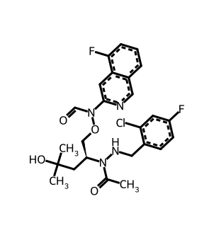 CC(=O)N(NCc1ccc(F)cc1Cl)[C@H](CON(C=O)c1cc2c(F)cccc2cn1)CC(C)(C)O